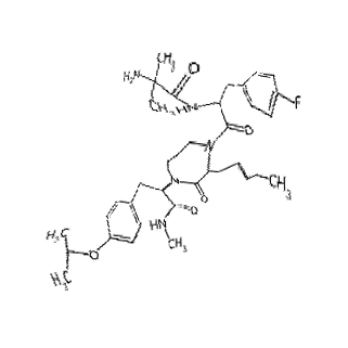 CCCC1C(=O)N(C(Cc2ccc(OC(C)C)cc2)C(=O)NC)CCN1C(=O)C(Cc1ccc(F)cc1)NC(=O)C(C)(C)N